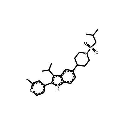 Cc1cc(-c2[nH]c3ccc(C4CCN(S(=O)(=O)CC(C)C)CC4)cc3c2C(C)C)ccn1